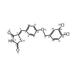 O=C1NC(=O)/C(=C/c2ccc(OCc3ccc(Cl)c(Cl)c3)cc2)S1